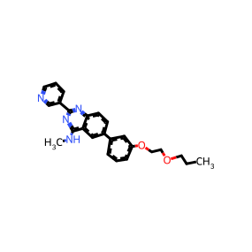 CCCOCCOc1cccc(-c2ccc3nc(-c4cccnc4)nc(NC)c3c2)c1